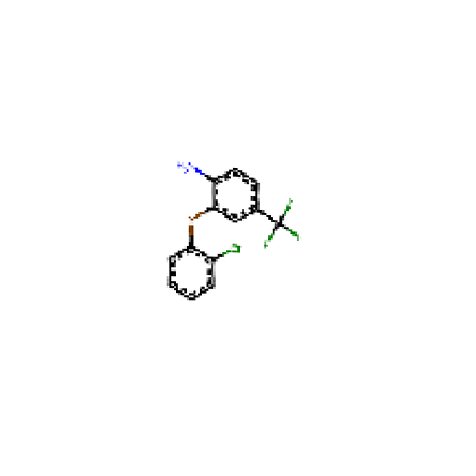 Nc1ccc(C(F)(F)F)cc1Sc1ccccc1Br